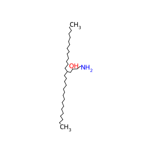 CCCCCCCCCCCCCCCCC(CCCCCCCCCCCCCC)CC(O)CCN